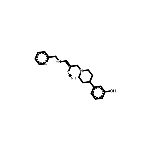 N=N/C(=C\NCc1ccccn1)CN1CCC(c2cccc(O)c2)CC1